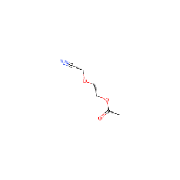 CC(=O)OCCOCC#N